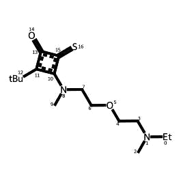 CCN(C)CCOCCN(C)c1c(C(C)(C)C)c(=O)c1=S